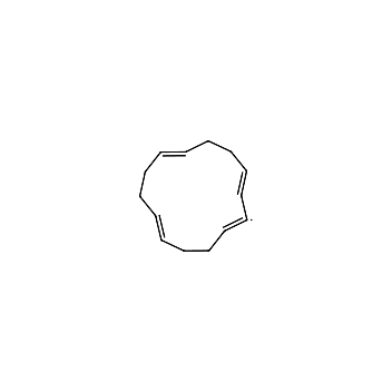 [C]1=C/CC/C=C/CC/C=C/CC/C=C/1